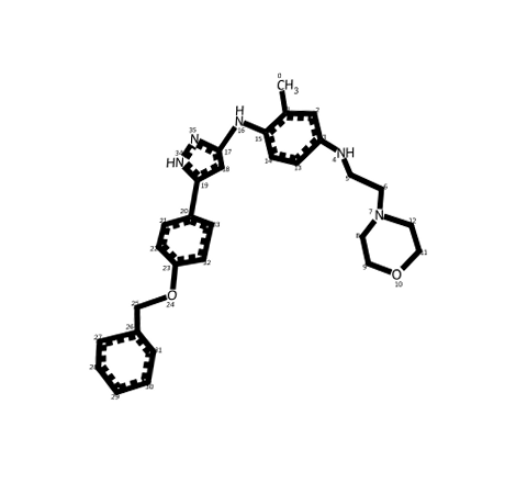 Cc1cc(NCCN2CCOCC2)ccc1Nc1cc(-c2ccc(OCc3ccccc3)cc2)[nH]n1